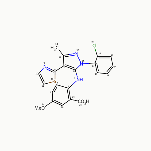 COc1ccc(Nc2c(-c3nccs3)c(C)nn2-c2ccccc2Cl)c(C(=O)O)c1